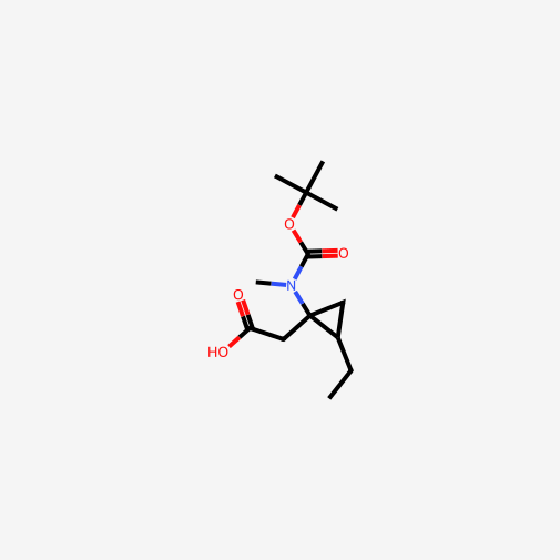 CCC1CC1(CC(=O)O)N(C)C(=O)OC(C)(C)C